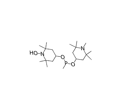 CN1C(C)(C)CC(OP(C)OC2CC(C)(C)N(O)C(C)(C)C2)CC1(C)C